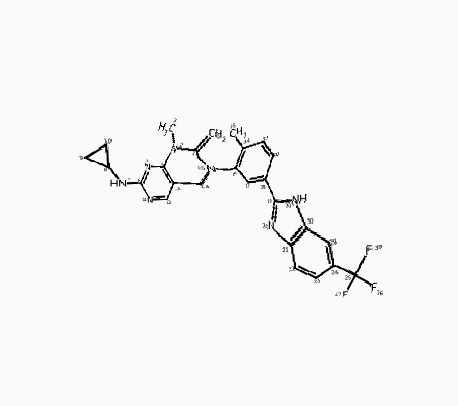 C=C1N(C)c2nc(NC3CC3)ncc2CN1c1cc(-c2nc3ccc(C(F)(F)F)cc3[nH]2)ccc1C